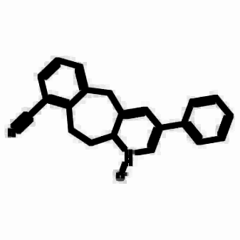 N#Cc1cccc2c1CCC1C(=CC(c3ccccc3)=C[NH+]1[O-])C2